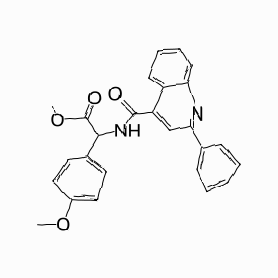 COC(=O)C(NC(=O)c1cc(-c2ccccc2)nc2ccccc12)c1ccc(OC)cc1